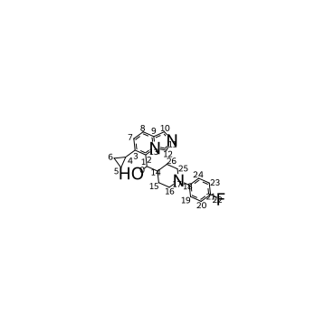 OC(c1c(C2CC2)ccc2cncn12)C1CCN(c2ccc(F)cc2)CC1